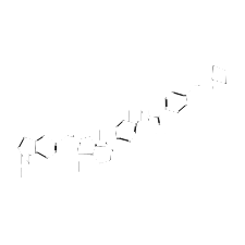 O=C(Nc1ccc(N2CC[C@@H]3CN(Cc4ccc5[nH]ccc5c4)C[C@@H]32)cc1)c1ccc(COC2CCC2)cc1